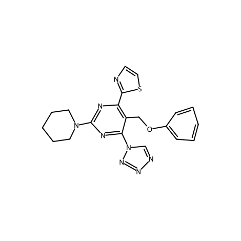 c1ccc(OCc2c(-c3nccs3)nc(N3CCCCC3)nc2-n2cnnn2)cc1